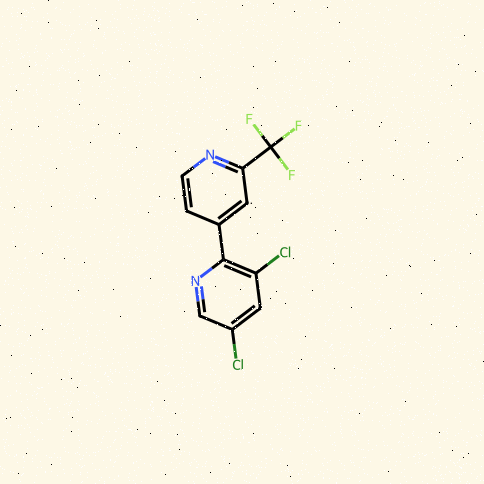 FC(F)(F)c1[c]c(-c2ncc(Cl)cc2Cl)ccn1